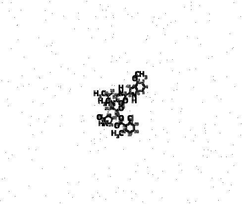 COc1cccc2[nH]c(C(=O)N[C@@H](CC(C)C)C(=O)N[C@@H](C[C@@H]3CCNC3=O)C(=O)COC(=O)c3c(C)cccc3Cl)cc12